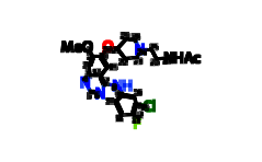 COc1cc2ncnc(Nc3ccc(F)c(Cl)c3)c2cc1OC1CCN(CCNC(C)=O)CC1